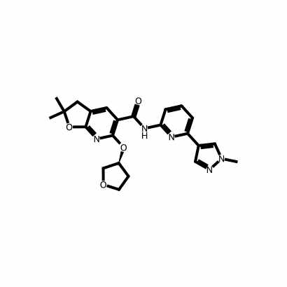 Cn1cc(-c2cccc(NC(=O)c3cc4c(nc3O[C@H]3CCOC3)OC(C)(C)C4)n2)cn1